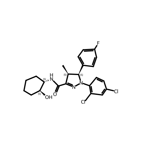 C[C@@H]1C(C(=O)N[C@H]2CCCC[C@@H]2O)=NN(c2ccc(Cl)cc2Cl)[C@@H]1c1ccc(F)cc1